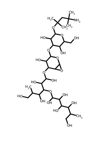 CC(CO)C(O)C(O)C(O)C(O)OC(C(O)C(C)CO)C(O)C(O)OC1C(O)C(OC2C(O)C(CO)OC(OC(C)(C)CC(C)(C)N)C2O)OC2OC21